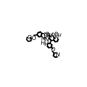 CCCCn1c(=O)c(NC(=O)Nc2cc(COC3CCCCO3)ccc2C(C)(C)C)c(-c2cccc(OCc3cccnc3)c2)c2cccnc21